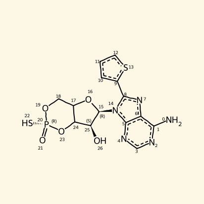 Nc1ncnc2c1nc(-c1cccs1)n2[C@@H]1OC2CO[P@@](=O)(S)OC2[C@@H]1O